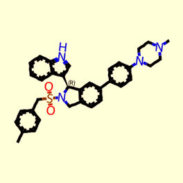 Cc1ccc(CS(=O)(=O)N2Cc3ccc(-c4ccc(N5CCN(C)CC5)cc4)cc3[C@@H]2c2c[nH]c3ccccc23)cc1